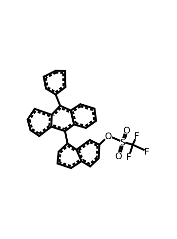 O=S(=O)(Oc1ccc2cccc(-c3c4ccccc4c(-c4ccccc4)c4ccccc34)c2c1)C(F)(F)F